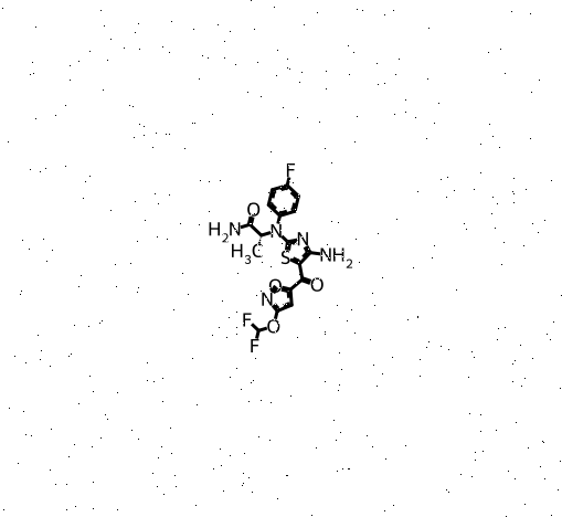 C[C@H](C(N)=O)N(c1ccc(F)cc1)c1nc(N)c(C(=O)c2cc(OC(F)F)no2)s1